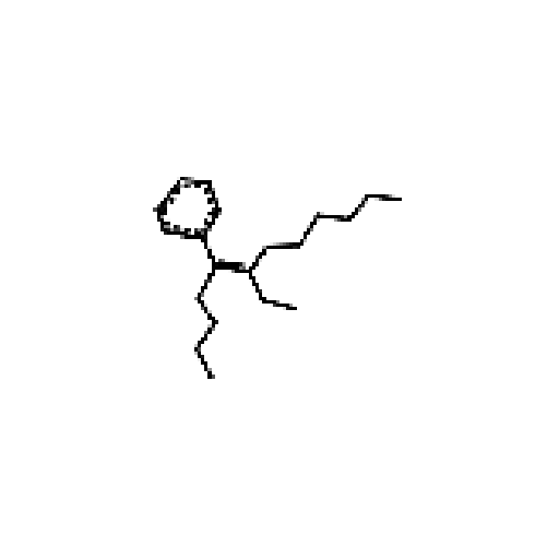 CCCCCCC(CC)=C(CCCC)c1ccccc1